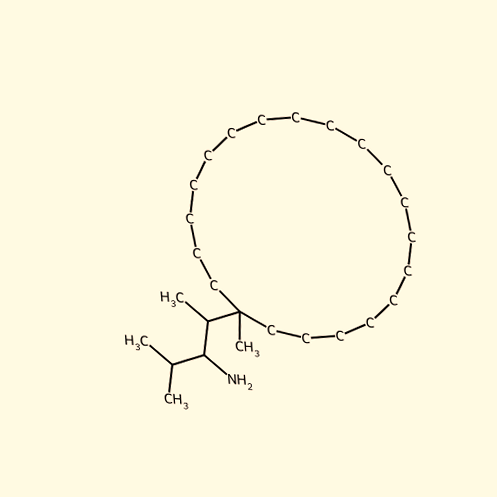 CC(C)C(N)C(C)C1(C)CCCCCCCCCCCCCCCCCCC1